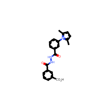 Cc1ccc(C)n1-c1cccc(C(=O)NNC(=O)c2cccc(C(=O)O)c2)c1